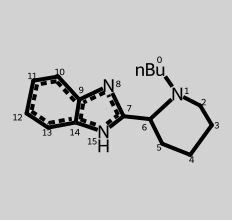 CCCCN1CCCCC1c1nc2ccccc2[nH]1